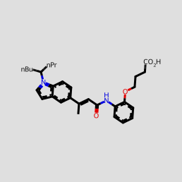 CCCCC(CCC)n1ccc2cc(C(C)=CC(=O)Nc3ccccc3OCCCC(=O)O)ccc21